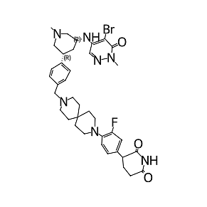 CN1C[C@H](Nc2cnn(C)c(=O)c2Br)C[C@H](c2ccc(CN3CCC4(CC3)CCN(c3ccc(C5CCC(=O)NC5=O)cc3F)CC4)cc2)C1